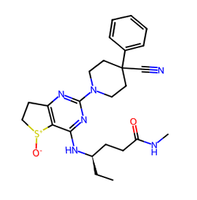 CC[C@H](CCC(=O)NC)Nc1nc(N2CCC(C#N)(c3ccccc3)CC2)nc2c1[S+]([O-])CC2